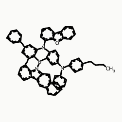 CCCCc1ccc(N(c2ccccc2)c2ccc3c(c2)B2c4c(cc(-c5ccccc5)cc4N3c3cccc4c3oc3ccccc34)-c3cccc4c5cc6ccccc6cc5n2c34)cc1